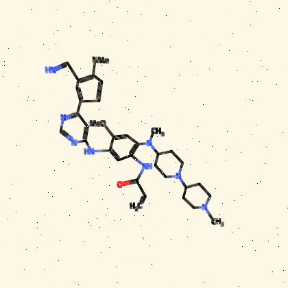 C=CC(=O)Nc1cc(Nc2cc(-c3ccc(NC)c(C=N)c3)ncn2)c(OC)cc1N(C)C1CCN(C2CCN(C)CC2)CC1